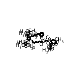 CCN(C(=O)CCOC(=O)CCC/C=C\C[C@H]1C(O[Si](C)(C)C(C)(C)C)CC(O[Si](C)(C)C(C)(C)C)[C@@H]1CCCCCc1ccccc1)[C@H]1C[C@H](C)S(=O)(=O)c2sc(S(N)(=O)=O)cc21